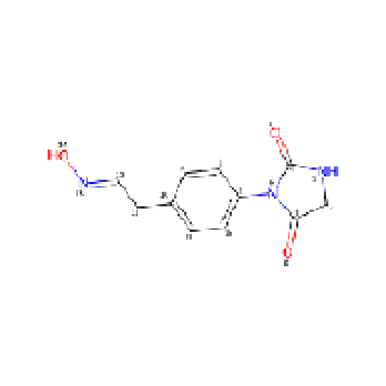 O=C1CNC(=O)N1c1ccc(CC=NO)cc1